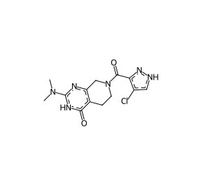 CN(C)c1nc2c(c(=O)[nH]1)CCN(C(=O)c1n[nH]cc1Cl)C2